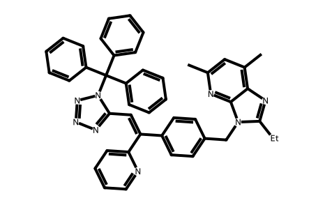 CCc1nc2c(C)cc(C)nc2n1Cc1ccc(C(=Cc2nnnn2C(c2ccccc2)(c2ccccc2)c2ccccc2)c2ccccn2)cc1